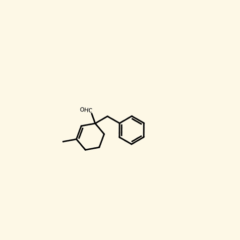 CC1=CC(C=O)(Cc2ccccc2)CCC1